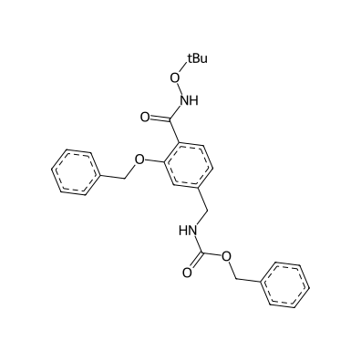 CC(C)(C)ONC(=O)c1ccc(CNC(=O)OCc2ccccc2)cc1OCc1ccccc1